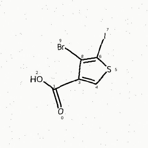 O=C(O)c1csc(I)c1Br